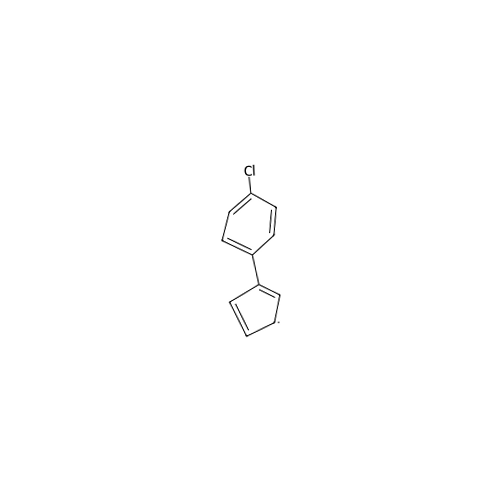 Clc1ccc(C2=C[CH]C=C2)cc1